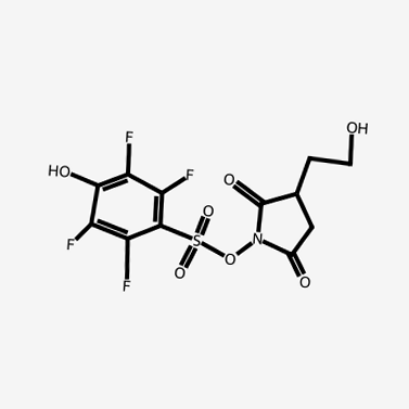 O=C1CC(CCO)C(=O)N1OS(=O)(=O)c1c(F)c(F)c(O)c(F)c1F